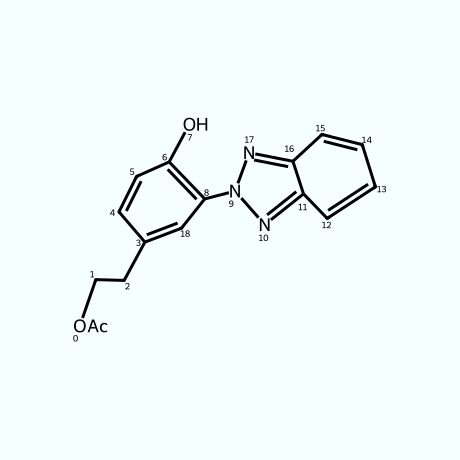 CC(=O)OCCc1ccc(O)c(-n2nc3ccccc3n2)c1